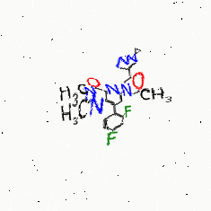 Cc1nc2c(-c3ccc(F)cc3F)cc(N3C[C@@H](C)O[C@H](c4cnn(C5CC5)c4)C3)nc2c(=O)n1C